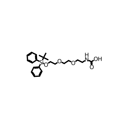 CC(C)(C)[Si](OCCOCCOCCNC(=O)O)(c1ccccc1)c1ccccc1